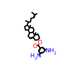 CC(C)=CCCC(C)C1CCC2C3CC=C4CC(OC(=O)c5cc(N)cc(N)c5)CCC4(C)C3CCC12C